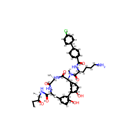 CCC(=O)[C@H](C)NC(=O)[C@@H]1Cc2ccc(O)c(c2)-c2cc(ccc2O)[C@H](N(C)C(=O)[C@H](CCCCN)NC(=O)c2ccc(-c3ccc(Cl)cc3)cc2)C(=O)N[C@@H](C)C(=O)N1